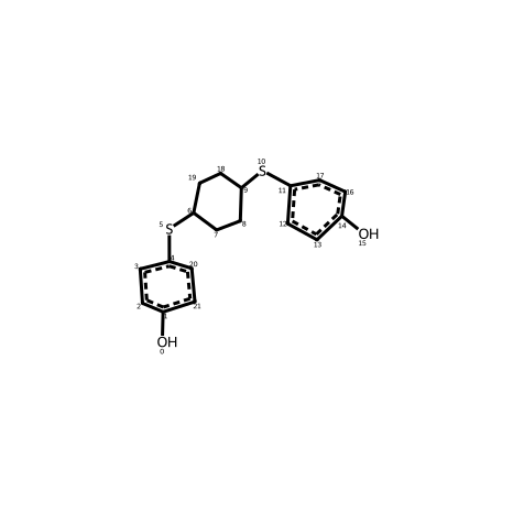 Oc1ccc(SC2CCC(Sc3ccc(O)cc3)CC2)cc1